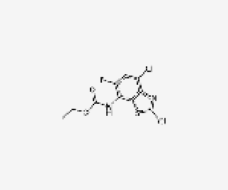 CCOC(=O)Nc1c(F)cc(Cl)c2nc(Cl)sc12